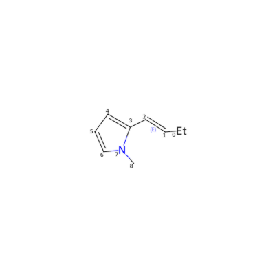 CC/C=C/c1cccn1C